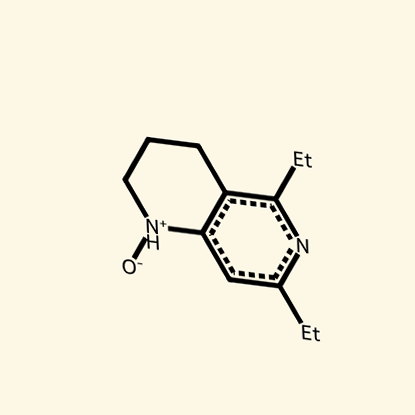 CCc1cc2c(c(CC)n1)CCC[NH+]2[O-]